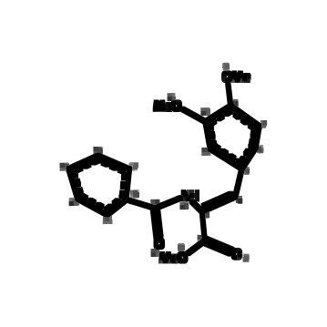 COC(=O)C(=Cc1ccc(OC)c(OC)c1)NC(=O)c1ccccc1